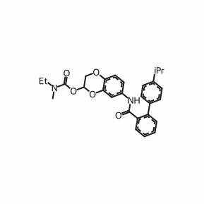 CCN(C)C(=O)OC1COc2ccc(NC(=O)c3ccccc3-c3ccc(C(C)C)cc3)cc2O1